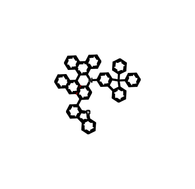 c1ccc(C2(c3ccccc3)c3ccccc3-c3cc(N(c4ccc(-c5cccc6c5oc5ccccc56)cc4)c4c(-c5cccc6ccccc56)c5ccccc5c5ccccc45)ccc32)cc1